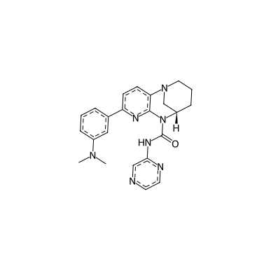 CN(C)c1cccc(-c2ccc3c(n2)N(C(=O)Nc2cnccn2)[C@H]2CCCN3C2)c1